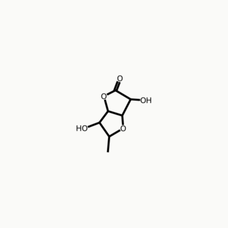 CC1OC2C(O)C(=O)OC2C1O